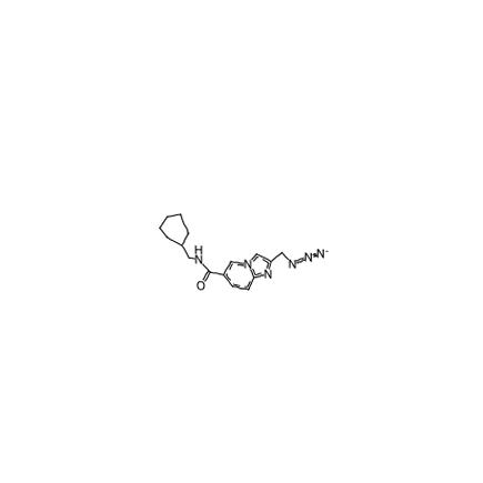 [N-]=[N+]=NCc1cn2cc(C(=O)NCC3CCCCC3)ccc2n1